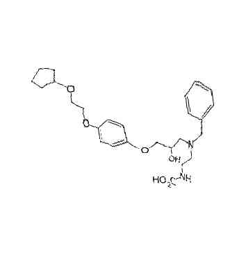 O=C(O)NCCN(Cc1ccccc1)CC(O)COc1ccc(OCCOC2CCCC2)cc1